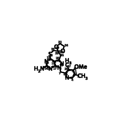 COc1c(C)cnc(Cn2nc3c4c(nc(N)nc42)SCC2(C3)OCCO2)c1C